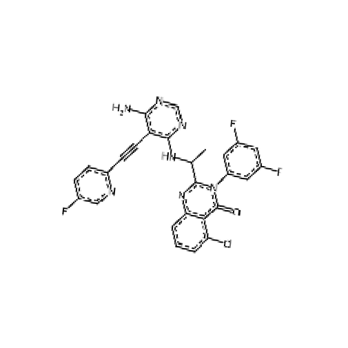 CC(Nc1ncnc(N)c1C#Cc1ccc(F)cn1)c1nc2cccc(Cl)c2c(=O)n1-c1cc(F)cc(F)c1